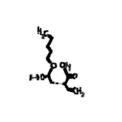 C=C[C@H](C[C@@H](O)OCCCCC)C(=O)O